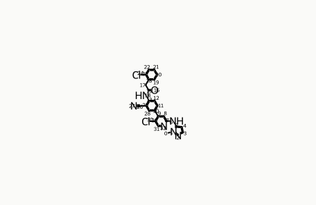 Cn1nccc1Nc1cc(-c2ccc(NC(=O)Cc3ccccc3Cl)c(C#N)c2)c(Cl)cn1